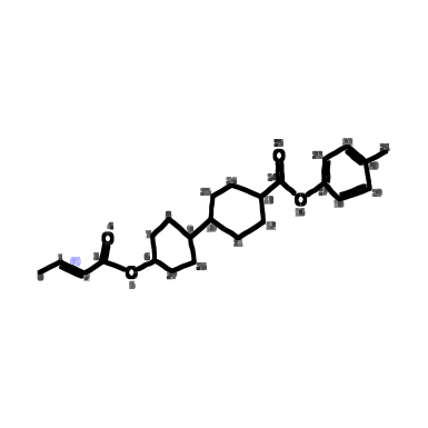 C/C=C/C(=O)OC1CCC(C2CCC(C(=O)Oc3ccc(C)cc3)CC2)CC1